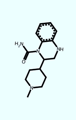 CN1CCC(C2CNc3ccccc3N2C(N)=O)CC1